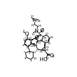 COc1ccc(C2CCCCC2)c2c1cc1n2CC2=C(C(=O)O)C2=C2C=CC[C@@H](S(=O)(=O)N(C)CCN(C)C)C21